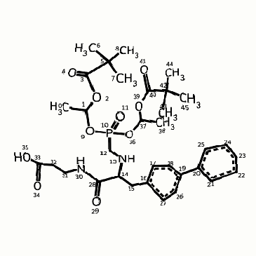 CC(OC(=O)C(C)(C)C)OP(=O)(CNC(Cc1ccc(-c2ccccc2)cc1)C(=O)NCCC(=O)O)OC(C)OC(=O)C(C)(C)C